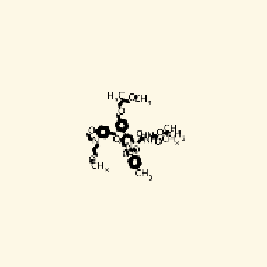 COCCCN1CCOc2ccc(CO[C@H]3CN(S(=O)(=O)c4ccc(C)cc4)[C@@H](CC(=O)NNC(=O)OC(C)(C)C)C[C@@H]3c3ccc(COCC(C)COC)cc3)cc21